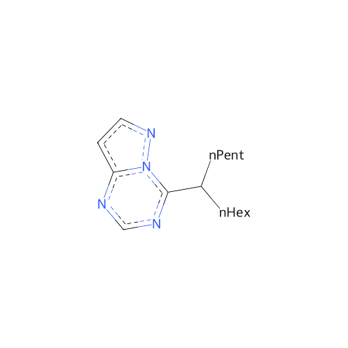 CCCCCCC(CCCCC)c1ncnc2ccnn12